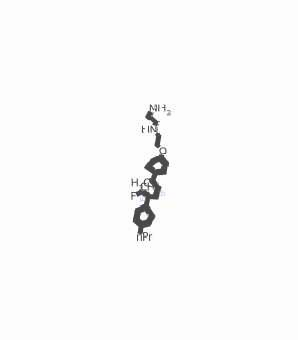 C=C(/C=C\C(=C(/C)F)c1ccc(CCC)cc1)c1ccc(OCCNCCN)cc1